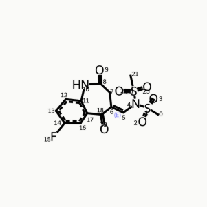 CS(=O)(=O)N(/C=C1\CC(=O)Nc2ccc(F)cc2C1=O)S(C)(=O)=O